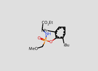 CCCc1cccc(C(C)CC)c1OP(=O)(COC)NCC(=O)OCC